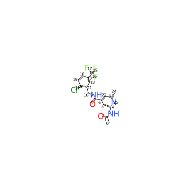 CC(=O)Nc1cc(C(=O)NCc2cc(C(F)(F)F)ccc2Cl)cc(C)n1